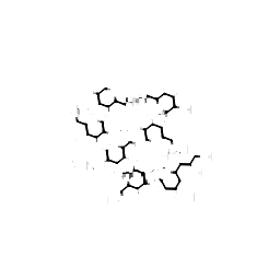 CC(=O)NC1[C@H](O[C@@H]2C(O)[C@H](O[C@@H]3C(CO)O[C@@H](O)C(O)[C@H]3O)OC(CO)[C@@H]2O)OC(CO[C@@H]2OC(CO)[C@@H](O[C@@H]3OC(CO)[C@H](O)[C@H](O)C3O)[C@H](O)C2O)[C@@H](O[C@@H]2OC(CO)[C@H](O)C(O[C@]3(C(=O)O)CC(O)[C@@H](C)C([C@H](O)[C@H](O)CO)O3)C2O)[C@@H]1O